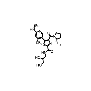 C[C@H]1CCCN1C(=O)c1nc(C(=O)NCC(O)CO)sc1-c1cnc(NC(C)(C)C)cc1C(F)(F)F